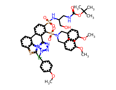 COc1ccc(CN(Cc2ccc(OC)cc2)S(=O)(=O)c2c(S(=O)(=O)NC(CO)CNC(=O)OC(C)(C)C)ccc(-c3cccc4sc(Br)nc34)c2-c2nnn(Cc3ccc(OC)cc3)n2)cc1